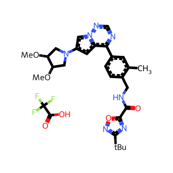 COC1CN(c2cc3c(-c4ccc(CNC(=O)c5nc(C(C)(C)C)no5)c(C)c4)ncnn3c2)CC1OC.O=C(O)C(F)(F)F